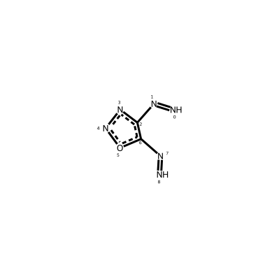 N=Nc1nnoc1N=N